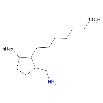 CCCCCCC1CCC(CN)C1CCCCCCC(=O)O